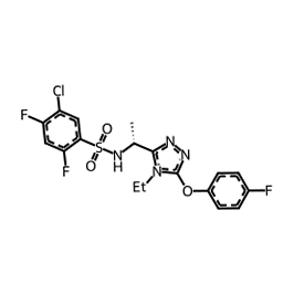 CCn1c(Oc2ccc(F)cc2)nnc1[C@@H](C)NS(=O)(=O)c1cc(Cl)c(F)cc1F